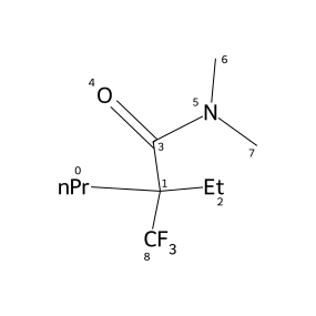 CCCC(CC)(C(=O)N(C)C)C(F)(F)F